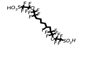 O=S(=O)(O)C(F)(F)C(F)(F)OC(F)(F)C(F)(F)CCCCC(I)CC(F)(F)C(F)(F)OC(F)(F)C(F)(F)S(=O)(=O)O